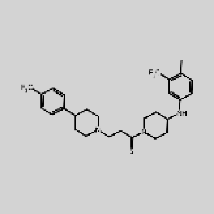 Cc1ccc(NC2CCN(C(=S)CCN3CCC(c4ccc(C(F)(F)F)cc4)CC3)CC2)cc1C(F)(F)F